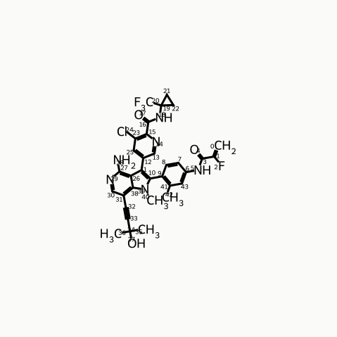 C=C(F)C(=O)Nc1ccc(-c2c(-c3cnc(C(=O)NC4(C(F)(F)F)CC4)c(Cl)c3)c3c(N)ncc(C#CC(C)(C)O)c3n2C)c(C)c1